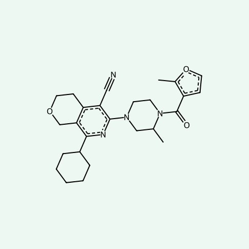 Cc1occc1C(=O)N1CCN(c2nc(C3CCCCC3)c3c(c2C#N)CCOC3)CC1C